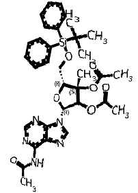 CC(=O)Nc1ncnc2c1ncn2[C@@H]1O[C@H](CO[Si](c2ccccc2)(c2ccccc2)C(C)(C)C)[C@](C)(OC(C)=O)C1OC(C)=O